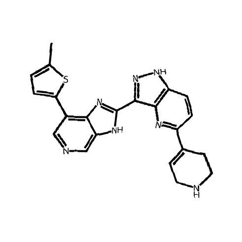 Cc1ccc(-c2cncc3[nH]c(-c4n[nH]c5ccc(C6=CCNCC6)nc45)nc23)s1